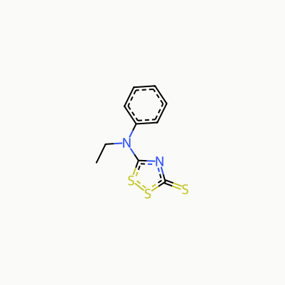 CCN(c1ccccc1)c1nc(=S)ss1